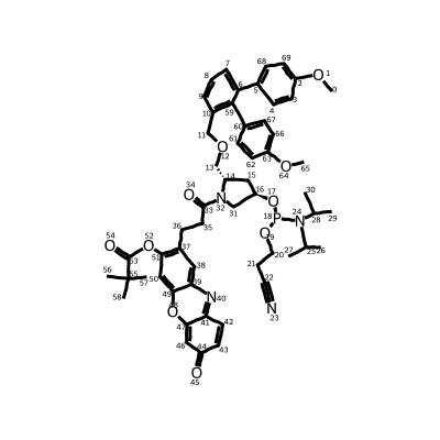 COc1ccc(-c2cccc(COC[C@@H]3C[C@@H](OP(OCCC#N)N(C(C)C)C(C)C)CN3C(=O)CCc3cc4nc5ccc(=O)cc-5oc4cc3OC(=O)C(C)(C)C)c2-c2ccc(OC)cc2)cc1